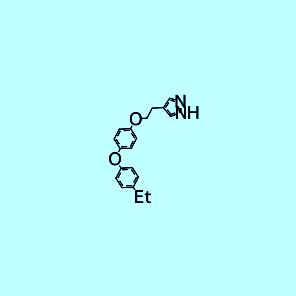 CCc1ccc(Oc2ccc(OCCc3cn[nH]c3)cc2)cc1